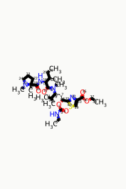 CCNC(=O)O[C@H](C[C@H](C(C)C)N(C)C(=O)[C@@H](NC(=O)[C@@]1(C)CCCN1C)[C@@H](C)CC)c1nc(C(=O)OCC)cs1